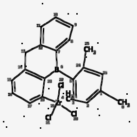 Cc1cc(C)c(B2c3ccccc3Cc3ccc[c]([Zr]([Cl])([Cl])[Cl])c32)c(C)c1